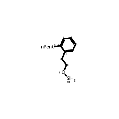 CCCCCc1ccccc1CCO[SiH3]